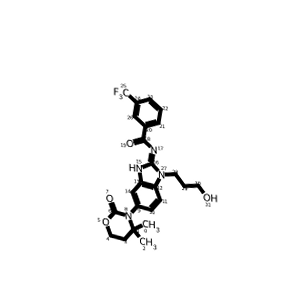 CC1(C)CCOC(=O)N1c1ccc2c(c1)[nH]/c(=N\C(=O)c1cccc(C(F)(F)F)c1)n2CCCO